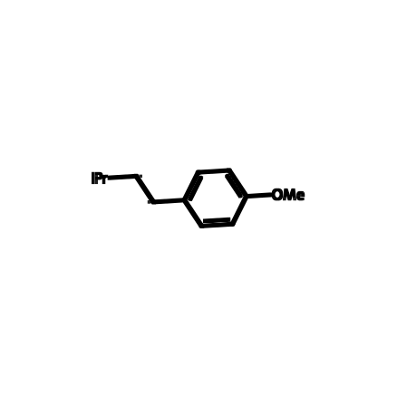 COc1ccc([CH][CH]C(C)C)cc1